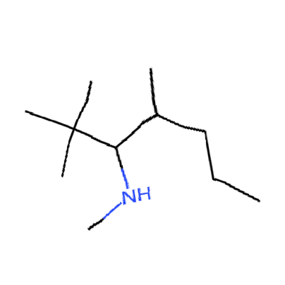 CCCC(C)C(NC)C(C)(C)C